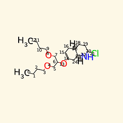 CCCCOCC(COCCCC)OC1=CC[C@H]2CCC(Cl)N[C@H]2C1